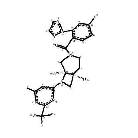 Cc1cc(N2C[C@@H]3CCN(C(=O)c4ccc(F)cc4-n4nccn4)C[C@@H]32)nc(C(F)(F)F)n1